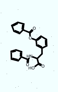 O=C(NC(Cc1cccc(OC(=O)c2ccccc2)c1)C(=O)O)c1ccccc1